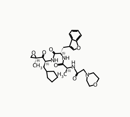 C[C@H](NC(=O)CN1CCOCC1)C(=O)N[C@@H](Cc1coc2ccccc12)C(=O)N[C@@H](CC1CCCC1)C(=O)[C@@]1(C)CO1